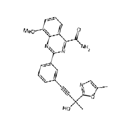 COc1cccc2c(C(N)=O)nc(-c3cccc(C#CC(C)(O)c4ncc(C)o4)c3)nc12